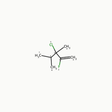 C=C(F)C(C)(Cl)C(C)C